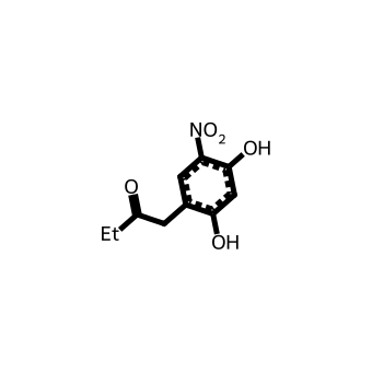 CCC(=O)Cc1cc([N+](=O)[O-])c(O)cc1O